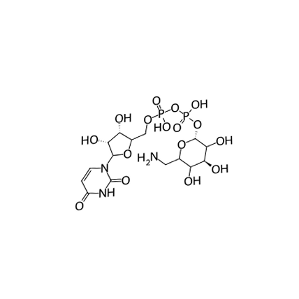 NCC1O[C@H](OP(=O)(O)OP(=O)(O)OCC2OC(n3ccc(=O)[nH]c3=O)[C@H](O)[C@@H]2O)C(O)[C@@H](O)C1O